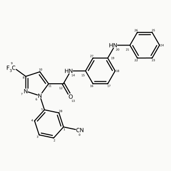 N#Cc1cccc(-n2nc(C(F)(F)F)cc2C(=O)Nc2cccc(Nc3ccccc3)c2)c1